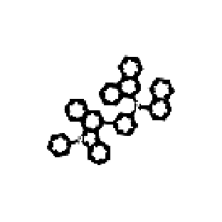 c1ccc(-n2c3ccccc3c3c(-c4cccc(N(c5cccc6ccccc56)c5cc6ccccc6c6ccccc56)c4)cc4ccccc4c32)cc1